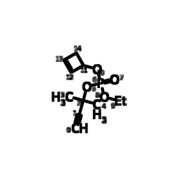 C#CC(C)(C)OP(=O)(OCC)OC1C=CC1